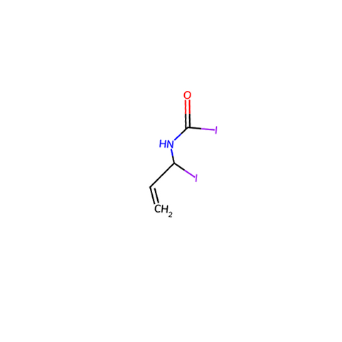 C=CC(I)NC(=O)I